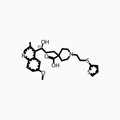 COc1ccc2ncc(C)c([C@@H](O)CCC3(C(=O)O)CCN(CCSc4cccs4)CC3)c2c1